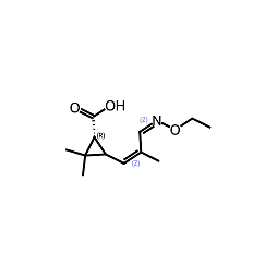 CCO/N=C\C(C)=C/C1[C@@H](C(=O)O)C1(C)C